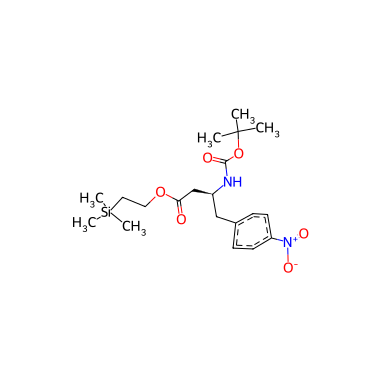 CC(C)(C)OC(=O)N[C@H](CC(=O)OCC[Si](C)(C)C)Cc1ccc([N+](=O)[O-])cc1